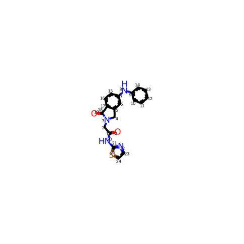 O=C(CN1Cc2cc(Nc3ccccc3)ccc2C1=O)Nc1nccs1